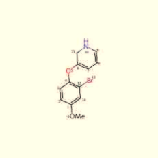 COc1ccc(OC2=CC=[C]NC2)c(Br)c1